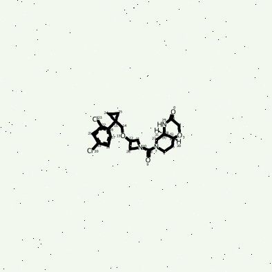 O=C1CO[C@H]2CCN(C(=O)N3CC(OCC4(c5ccc(Cl)cc5Cl)CC4)C3)C[C@H]2N1